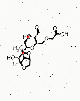 CC1OC2CO[C@H](C2OC(C=O)O[C@H](COCC(=O)O)[C@H](O)C=O)[C@@H]1O